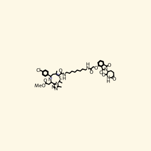 COC(=O)CC1/N=C(/c2ccc(Cl)cc2)C/C(C)=C(/C(=O)NCCCCCCCCNC(=O)COc2cccc3c2C(=O)N(C2CCC4OC4NC2=O)C3=O)SC(C)n2c(C)nnc21